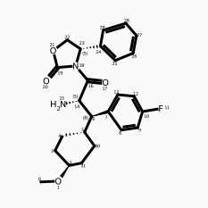 CO[C@H]1CC[C@H]([C@H](c2ccc(F)cc2)[C@H](N)C(=O)N2C(=O)OC[C@@H]2c2ccccc2)CC1